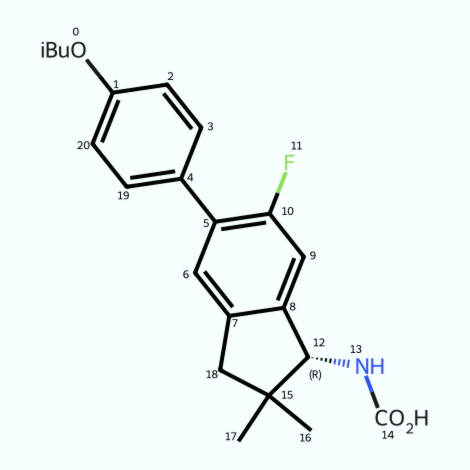 CC(C)COc1ccc(-c2cc3c(cc2F)[C@H](NC(=O)O)C(C)(C)C3)cc1